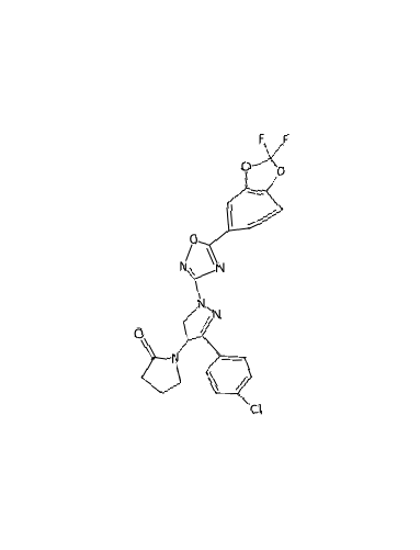 O=C1CCCN1C1CN(c2noc(-c3ccc4c(c3)OC(F)(F)O4)n2)N=C1c1ccc(Cl)cc1